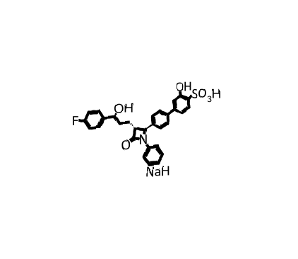 O=C1[C@H](CC[C@H](O)c2ccc(F)cc2)[C@@H](c2ccc(-c3ccc(S(=O)(=O)O)c(O)c3)cc2)N1c1ccccc1.[NaH]